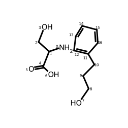 NC(CO)C(=O)O.OCCCc1ccccc1